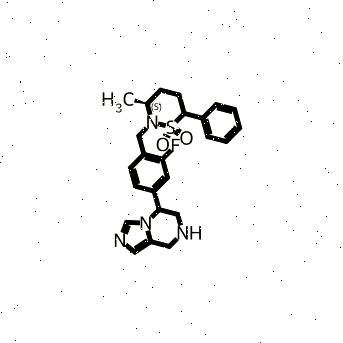 C[C@H]1CCC(c2ccccc2)S(=O)(=O)N1Cc1ccc(C2CNCc3cncn32)cc1F